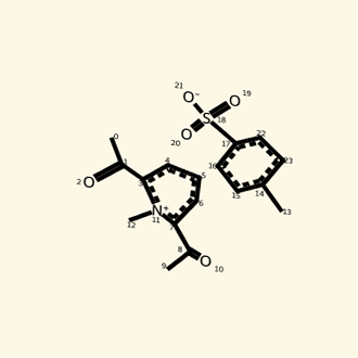 CC(=O)c1cccc(C(C)=O)[n+]1C.Cc1ccc(S(=O)(=O)[O-])cc1